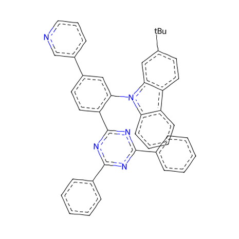 CC(C)(C)c1ccc2c3ccccc3n(-c3cc(-c4cccnc4)ccc3-c3nc(-c4ccccc4)nc(-c4ccccc4)n3)c2c1